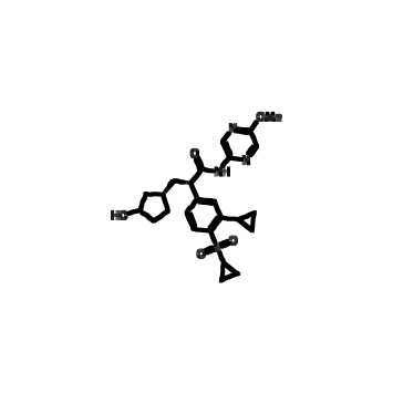 COc1cnc(NC(=O)[C@H](C[C@H]2CCC(O)C2)c2ccc(S(=O)(=O)C3CC3)c(C3CC3)c2)cn1